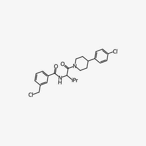 CC(C)C(NC(=O)c1cccc(CCl)c1)C(=O)N1CCC(c2ccc(Cl)cc2)CC1